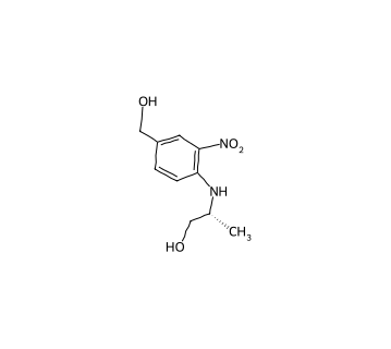 C[C@H](CO)Nc1ccc(CO)cc1[N+](=O)[O-]